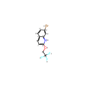 FC(F)(F)COc1ccc2ccc(Br)cc2n1